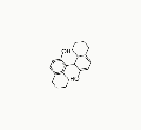 OC1=CC=C2CCCCC2[C@@H]1c1c(O)ccc2c1CCCC2